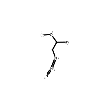 CCOC(CN=[N+]=[N-])C(C)C